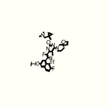 CCc1c(F)ccc2cc(O)cc(-c3ncc4c(N5CCC[C@@]6(CCO6)C5)nc(OCC5(CN(C)C)CC5)nc4c3F)c12